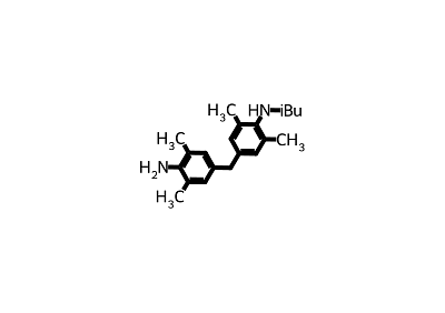 CCC(C)Nc1c(C)cc(Cc2cc(C)c(N)c(C)c2)cc1C